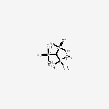 C[N+](C)(C)C(P(=O)([O-])O)P(=O)(O)O